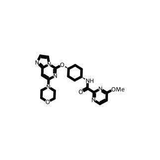 COc1ccnc(C(=O)N[C@H]2CC[C@@H](Oc3nc(N4CCOCC4)cc4nccn34)CC2)n1